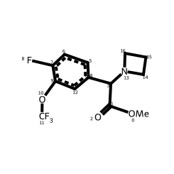 COC(=O)C(c1ccc(F)c(OC(F)(F)F)c1)N1CCC1